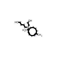 C/C1=C/CC=CC(C)(N(CCO)CCCCO)CCCC1